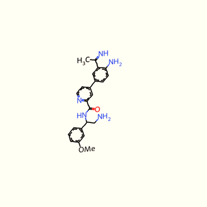 COc1cccc(C(CN)NC(=O)c2cc(-c3ccc(N)c(C(C)=N)c3)ccn2)c1